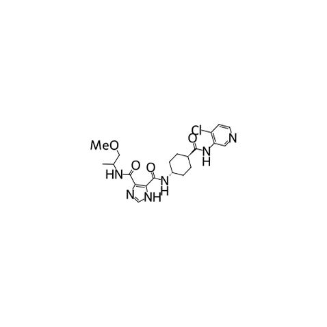 COCC(C)NC(=O)c1nc[nH]c1C(=O)N[C@H]1CC[C@H](C(=O)Nc2cnccc2Cl)CC1